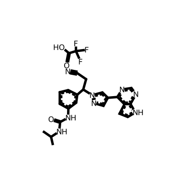 CC(C)NC(=O)Nc1cccc(C(CC#N)n2cc(-c3ncnc4[nH]ccc34)cn2)c1.O=C(O)C(F)(F)F